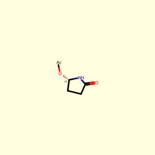 CC(=O)O[C@H]1CCC(=O)N1